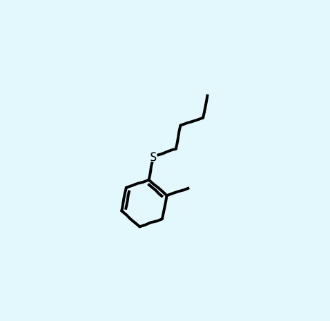 CCCCSC1=C(C)CCC=C1